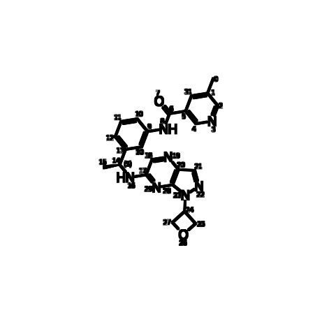 Cc1cncc(C(=O)Nc2cccc([C@H](C)Nc3cnc4cnn(C5COC5)c4n3)c2)c1